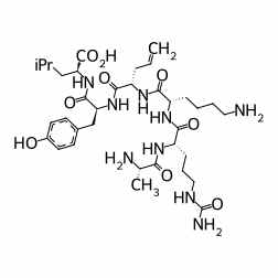 C=CC[C@H](NC(=O)[C@H](CCCCN)NC(=O)[C@H](CCCNC(N)=O)NC(=O)[C@H](C)N)C(=O)N[C@@H](Cc1ccc(O)cc1)C(=O)N[C@@H](CC(C)C)C(=O)O